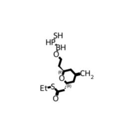 C=C1C[C@H](CC(=O)SCC)O[C@@H](CCOBPS)C1